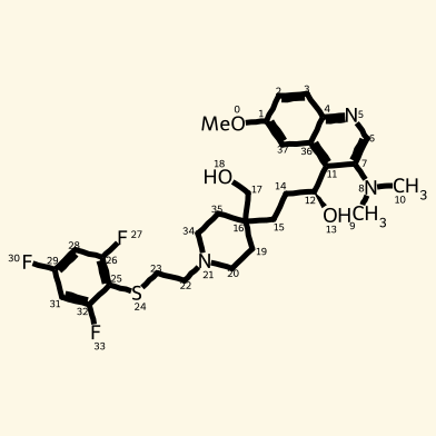 COc1ccc2ncc(N(C)C)c([C@@H](O)CCC3(CO)CCN(CCSc4c(F)cc(F)cc4F)CC3)c2c1